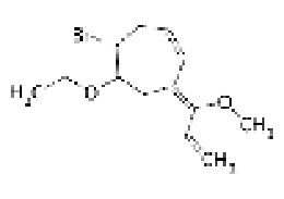 C=C/C(OC)=C1/C=CC[C@@H](Br)C(OCC)C1